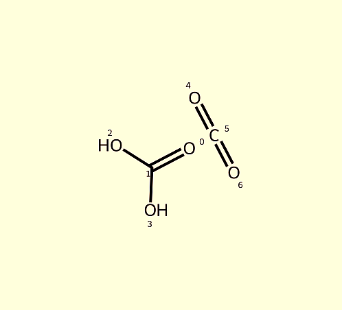 O=C(O)O.O=C=O